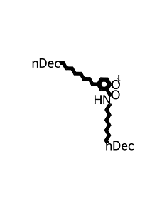 CCCCCCCCCCCCCCCCCCNC(=O)c1cc(CCCCCCCCCCCCCCCCCC)ccc1OI